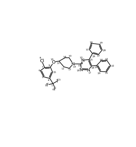 FC(F)(F)c1ccc(Cl)c(OC2CCN(c3nnc(-c4ccccc4)c(-c4ccccc4)n3)CC2)c1